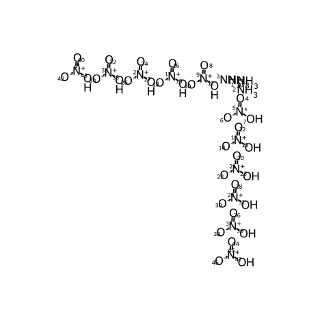 N.N.N.N.O=[N+]([O-])O.O=[N+]([O-])O.O=[N+]([O-])O.O=[N+]([O-])O.O=[N+]([O-])O.O=[N+]([O-])O.O=[N+]([O-])O.O=[N+]([O-])O.O=[N+]([O-])O.O=[N+]([O-])O.O=[N+]([O-])O